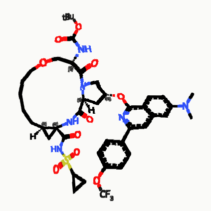 CN(C)c1ccc2c(O[C@@H]3C[C@H]4C(=O)N[C@]5(C(=O)NS(=O)(=O)C6CC6)C[C@H]5CCCCCOC[C@H](NC(=O)OC(C)(C)C)C(=O)N4C3)nc(-c3ccc(OC(F)(F)F)cc3)cc2c1